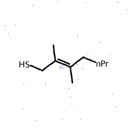 CCCC/C(C)=C(\C)CS